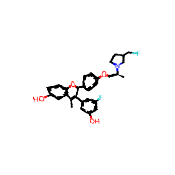 CC1=C(c2cc(O)cc(F)c2)C(c2ccc(OC[C@H](C)N3CCC(CF)C3)cc2)Oc2ccc(O)cc21